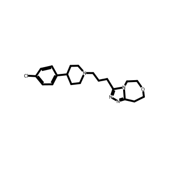 Clc1ccc(C2CCN(CCCc3nnc4n3CCOCC4)CC2)cc1